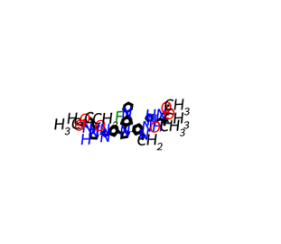 C=Nc1cc([C@@H]2CCC(c3ccc4[nH]c([C@@H]5CCCN5C(=O)C(NC(=O)OC)C(C)C)nc4c3)N2c2ccc(N3CCCCC3)c(F)c2)ccc1N[C@@H]1CCCN1C(=O)[C@@H](NC(=O)OC)C(C)C